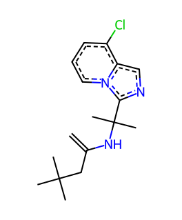 C=C(CC(C)(C)C)NC(C)(C)c1ncc2c(Cl)cccn12